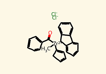 [CH3][Zr+2]([C](=O)c1ccccc1)([C]1=CC=CC1)[CH]1c2ccccc2-c2ccccc21.[Cl-].[Cl-]